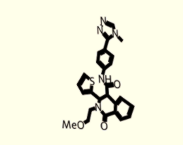 COCCN1C(=O)c2ccccc2C(C(=O)Nc2ccc(-c3nncn3C)cc2)C1c1cccs1